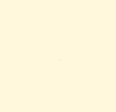 Cc1cnc(CO)nc1-c1ccccc1